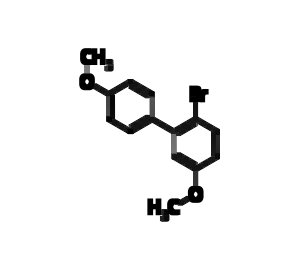 COc1ccc(-c2cc(OC)ccc2Br)cc1